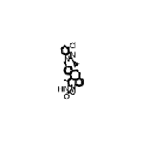 CC(=C1c2ccccc2CCc2cc(Cn3c(C4CC4)nc4c(Cl)cccc43)ccc21)c1noc(=O)[nH]1